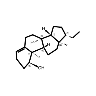 CC[C@H]1CC[C@H]2[C@@H]3CCC4=CCC[C@H](O)[C@]4(C)[C@H]3CC[C@]12C